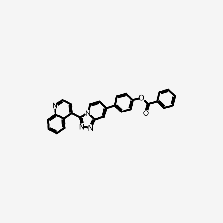 O=C(Oc1ccc(-c2ccn3c(-c4ccnc5ccccc45)nnc3c2)cc1)c1ccccc1